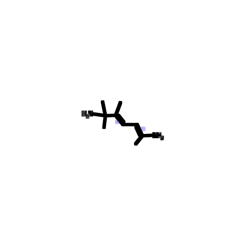 C/C(N)=C\C=C(/C)C(C)(C)N